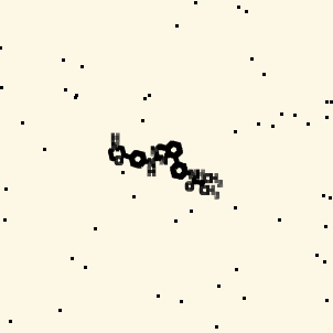 C=C(C)C(=O)Nc1cccc(-c2cccc3cnc(Nc4ccc(C5CNCCO5)cc4)nc23)c1